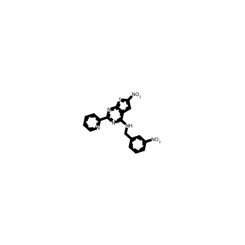 O=[N+]([O-])c1cccc(CNc2nc(-c3ccccn3)nc3sc([N+](=O)[O-])cc23)c1